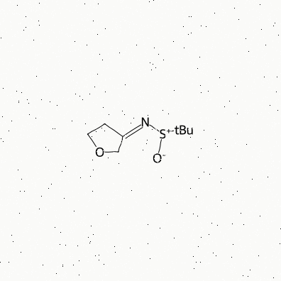 CC(C)(C)[S+]([O-])/N=C1/CCOC1